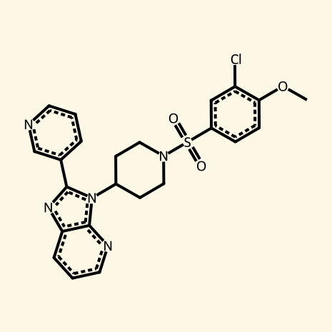 COc1ccc(S(=O)(=O)N2CCC(n3c(-c4cccnc4)nc4cccnc43)CC2)cc1Cl